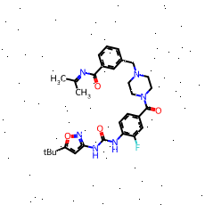 CC(C)=NC(=O)c1cccc(CN2CCN(C(=O)c3ccc(NC(=O)Nc4cc(C(C)(C)C)on4)c(F)c3)CC2)c1